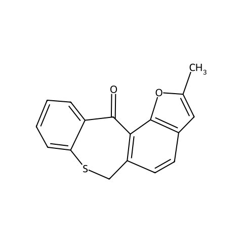 Cc1cc2ccc3c(c2o1)C(=O)c1ccccc1SC3